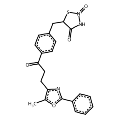 Cc1oc(-c2ccccc2)nc1CCC(=O)c1ccc(CC2S[N+](=O)NC2=O)cc1